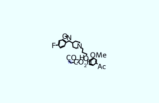 COc1cc(C(C)=O)ccc1OCCCN1CCC(c2noc3cc(F)ccc23)CC1.O=C(O)/C=C\C(=O)O